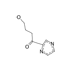 [O]CCCC(=O)c1cnccn1